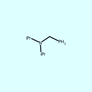 CC(C)N(CP)C(C)C